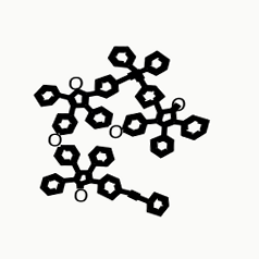 O=C1C(c2ccc(C#Cc3ccccc3)cc2)=C(c2ccccc2)C(c2ccc(Oc3ccc(C4=C(c5ccccc5)C(=O)C(c5ccc(C#Cc6ccccc6)cc5)=C4c4ccc(Oc5ccc(C6=C(c7ccc(C#Cc8ccccc8)cc7)C(=O)C(c7ccccc7)=C6c6ccccc6)cc5)cc4)cc3)cc2)=C1c1ccccc1